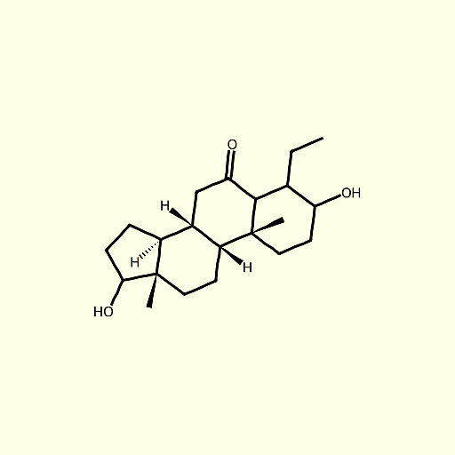 CCC1C(O)CC[C@@]2(C)C1C(=O)C[C@@H]1[C@H]2CC[C@]2(C)C(O)CC[C@@H]12